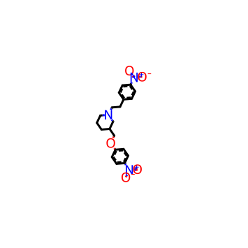 O=[N+]([O-])c1ccc(CCN2CCCC(COc3ccc([N+](=O)[O-])cc3)C2)cc1